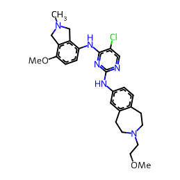 COCCN1CCc2ccc(Nc3ncc(Cl)c(Nc4ccc(OC)c5c4CN(C)C5)n3)cc2CC1